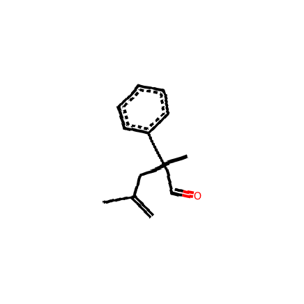 C=C(C)CC(C)(C=O)c1ccccc1